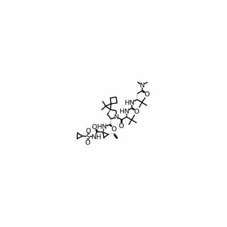 C=C[C@@H]1C[C@]1(NC(=O)[C@@H]1C[C@@]2(CN1C(=O)[C@@H](NC(=O)N[C@H](CC(=O)N(C)C)C(C)(C)C)C(C)(C)C)C(C)(C)C21CCC1)C(=O)NS(=O)(=O)C1CC1